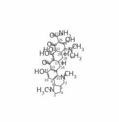 CN1CC2CCN(C)C2c2cc(O)c3c(c21)C[C@@H]1C[C@@H]2[C@@H](N(C)C)C(O)=C(C(N)=O)C(=O)C2(O)C(O)=C1C3=O